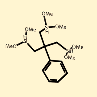 CO[SiH](CC(C[SiH](OC)OC)(C[SiH](OC)OC)c1ccccc1)OC